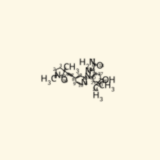 CN1CC[C@@](C)(C#Cc2ccnc(-n3nc(C(N)=O)c4c3CC(C)(C)[C@H](O)C4)c2)C1=O